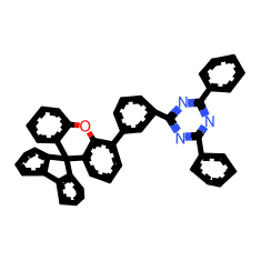 c1ccc(-c2nc(-c3ccccc3)nc(-c3cccc(-c4cccc5c4Oc4ccccc4C54c5ccccc5-c5ccccc54)c3)n2)cc1